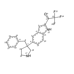 O=C(c1cc2cc(C3(Cc4ccccc4)CCNC3)ccc2[nH]1)C(F)(F)F